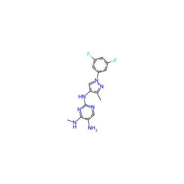 CNc1nc(Nc2cn(-c3cc(F)cc(F)c3)nc2C)ncc1N